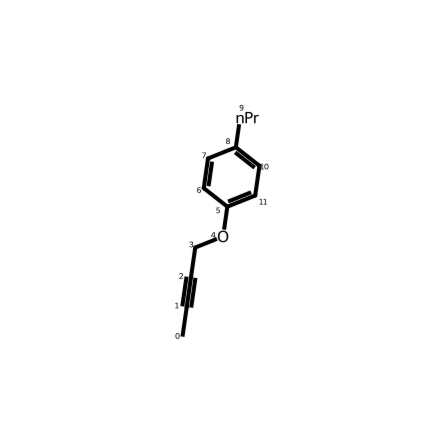 CC#CCOc1ccc(CCC)cc1